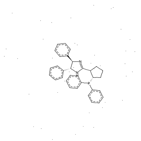 c1ccc([C@H]2N=C(C3CCC[C@@H]3P(c3ccccc3)c3ccccc3)N[C@@H]2c2ccccc2)cc1